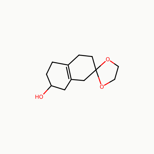 OC1CCC2=C(C1)CC1(CC2)OCCO1